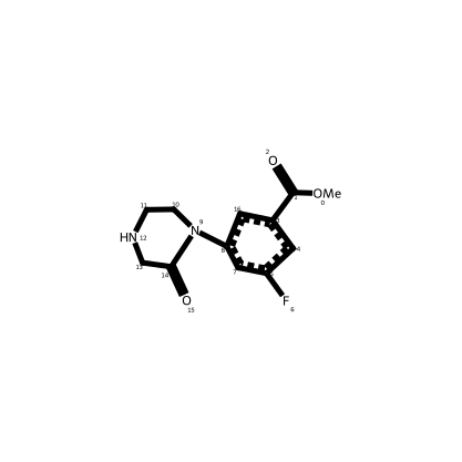 COC(=O)c1cc(F)cc(N2CCNCC2=O)c1